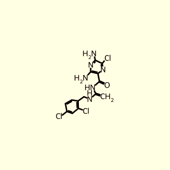 C=C(NCc1ccc(Cl)cc1Cl)NC(=O)c1nc(Cl)c(N)nc1N